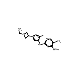 CNc1nc(Nc2cn(C3CN(CC(F)(F)F)C3)nc2C)ncc1C(F)(F)F